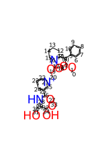 COC(=O)[C@H](c1ccccc1)[C@H]1CCCCN1C(=O)OC[n+]1cccc(C(=O)N[C@@H](CO)C(=O)O)c1